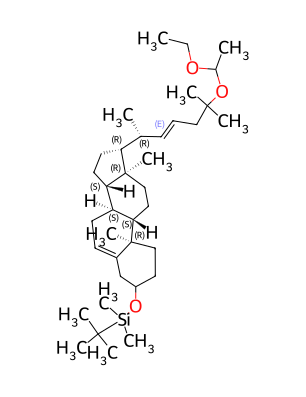 CCOC(C)OC(C)(C)C/C=C/[C@@H](C)[C@H]1CC[C@H]2[C@@H]3CC=C4CC(O[Si](C)(C)C(C)(C)C)CC[C@]4(C)[C@H]3CC[C@]12C